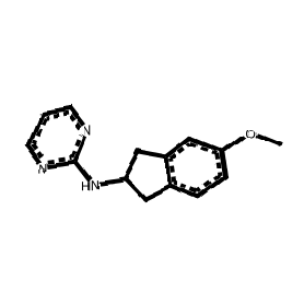 COc1ccc2c(c1)CC(Nc1nc[c]cn1)C2